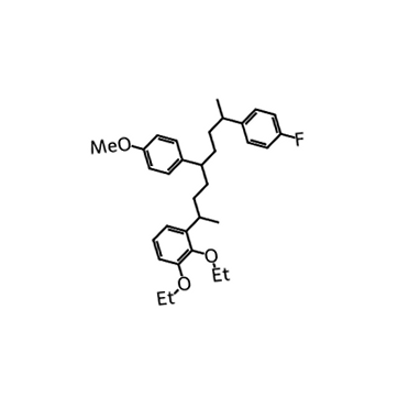 CCOc1cccc(C(C)CCC(CCC(C)c2ccc(F)cc2)c2ccc(OC)cc2)c1OCC